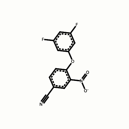 N#Cc1ccc(Oc2cc(F)cc(F)c2)c([N+](=O)[O-])c1